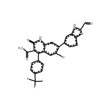 CC(=O)c1c(-c2ccc(C(F)(F)F)cc2)c2cc(Cl)c(-c3ccc4nc(C=O)[nH]c4c3)cc2[nH]c1=O